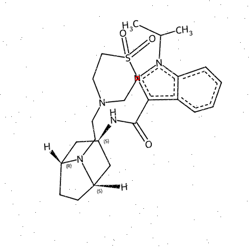 CC(C)n1nc(C(=O)N[C@@H]2C[C@H]3CC[C@@H](C2)N3CCN2CCS(=O)(=O)CC2)c2ccccc21